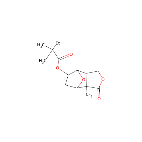 CCC(C)(C)C(=O)OC1CC2OC1C1COC(=O)C21C(F)(F)F